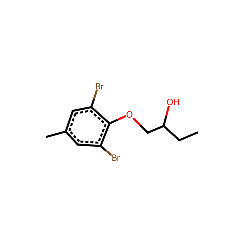 CCC(O)COc1c(Br)cc(C)cc1Br